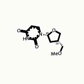 COC[C@H]1CO[C@@H](n2ccc(=O)[nH]c2=O)C1